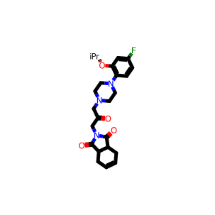 CC(C)Oc1cc(F)ccc1N1CCN(CC(=O)CN2C(=O)C3CC=CCC3C2=O)CC1